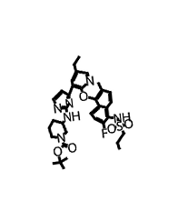 CCCS(=O)(=O)Nc1c(F)ccc2c(Oc3ncc(CC)cc3-c3ccnc(NC4CCCN(C(=O)OC(C)(C)C)C4)n3)c(C)ccc12